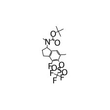 Cc1cc2c(c(F)c1OS(=O)(=O)C(F)(F)F)CCC2N(C)C(=O)OC(C)(C)C